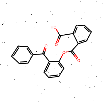 O=C(c1ccccc1)c1ccccc1OC(=O)c1ccccc1C(=O)O